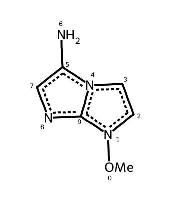 COn1ccn2c(N)cnc12